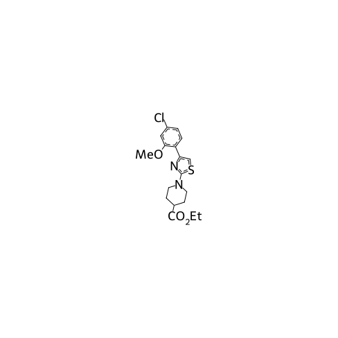 CCOC(=O)C1CCN(c2nc(-c3ccc(Cl)cc3OC)cs2)CC1